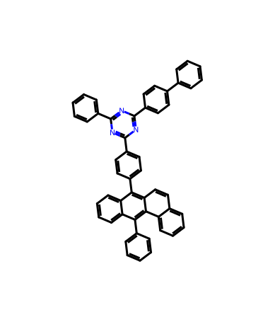 c1ccc(-c2ccc(-c3nc(-c4ccccc4)nc(-c4ccc(-c5c6ccccc6c(-c6ccccc6)c6c5ccc5ccccc56)cc4)n3)cc2)cc1